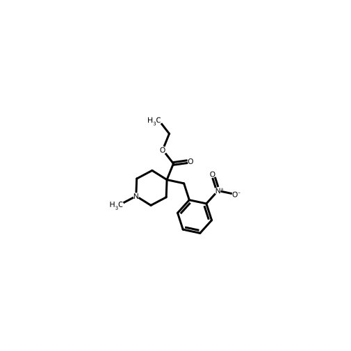 CCOC(=O)C1(Cc2ccccc2[N+](=O)[O-])CCN(C)CC1